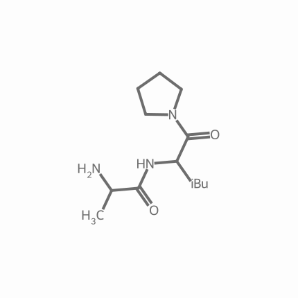 CCC(C)C(NC(=O)C(C)N)C(=O)N1CCCC1